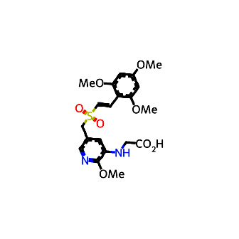 COc1cc(OC)c(C=CS(=O)(=O)Cc2cnc(OC)c(NCC(=O)O)c2)c(OC)c1